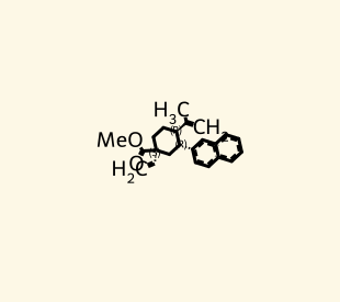 C=C[C@]1(C(=O)OC)CC[C@@H](C(=C)C)[C@H](c2ccc3ccccc3c2)C1